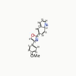 COc1ccc(-c2coc(-c3ccc4ncccc4c3)n2)cc1